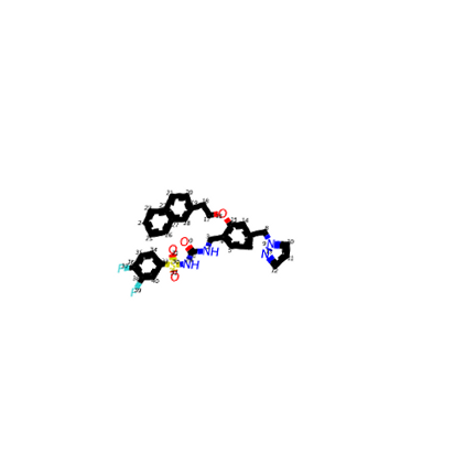 O=C(NCc1ccc(Cn2cccn2)cc1OCCc1ccc2ccccc2c1)NS(=O)(=O)c1ccc(F)c(F)c1